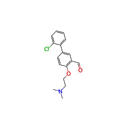 CN(C)CCOc1ccc(-c2ccccc2Cl)cc1C=O